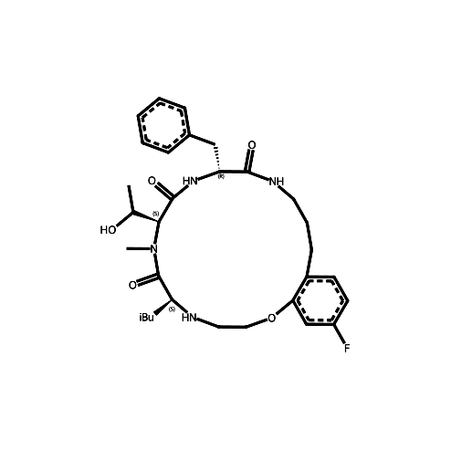 CCC(C)[C@@H]1NCCOc2cc(F)ccc2CCCNC(=O)[C@@H](Cc2ccccc2)NC(=O)[C@H](C(C)O)N(C)C1=O